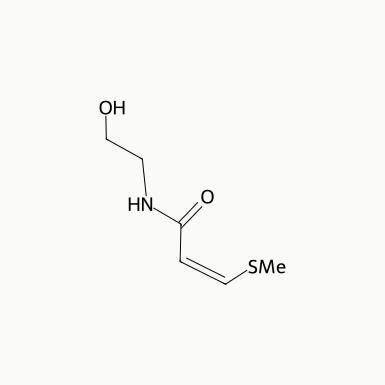 CS/C=C\C(=O)NCCO